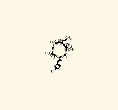 C=CC[C@H]1C(=O)C(C)(C)[C@@H](O)CC(=O)O[C@H](C(F)=Cc2coc(C)n2)C[C@@H]2O[C@]2(C)CCO[C@H](C)[C@H]1O